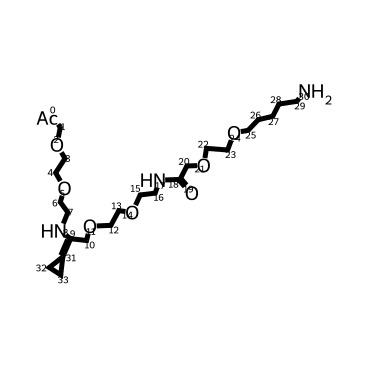 CC(=O)COCCOCCNC(COCCOCCNC(=O)COCCOCCCCCN)=C1CC1